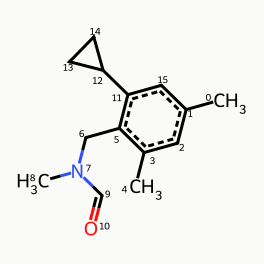 Cc1cc(C)c(CN(C)C=O)c(C2CC2)c1